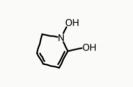 OC1=CC=CCN1O